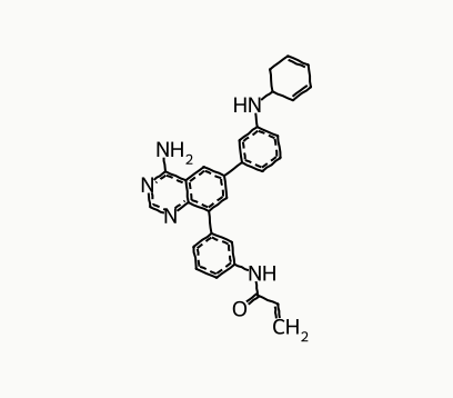 C=CC(=O)Nc1cccc(-c2cc(-c3cccc(NC4C=CC=CC4)c3)cc3c(N)ncnc23)c1